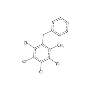 Cc1c(Cl)c(Cl)c(Cl)c(Cl)c1Cc1ccccc1